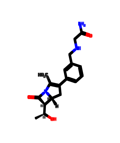 C[C@@H](O)[C@H]1C(=O)N2C(C(=O)O)=C(c3cccc(CNCC(N)=O)c3)C[C@H]12